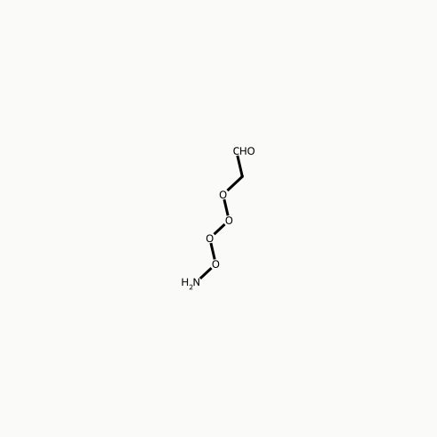 NOOOOCC=O